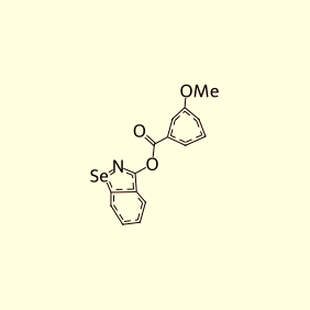 COc1cccc(C(=O)Oc2n[se]c3ccccc23)c1